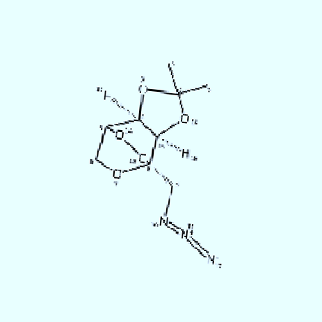 CC1(C)O[C@@H]2C3CO[C@@](CN=[N+]=[N-])(CO3)[C@@H]2O1